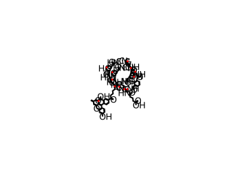 C=c1ccc2c(c1)Oc1cc(O)ccc1C=2c1ccc(C(=O)CCCCCC2CN3CCNC(=O)c4cccc(c4O)C(=O)NCCN(CCNC(=O)c4cccc(c4O)C(=O)N2)CCN2CCNC(=O)c4cccc(c4O)C(=O)NCCN(CC3)CC(CCCCNC(=O)CCCC(=O)O)NC(=O)c3cccc(c3O)C(=O)NCC2)cc1C(=O)O